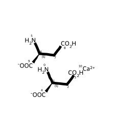 N[C@@H](CC(=O)O)C(=O)[O-].N[C@@H](CC(=O)O)C(=O)[O-].[Ca+2]